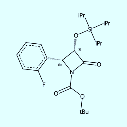 CC(C)[Si](O[C@@H]1C(=O)N(C(=O)OC(C)(C)C)[C@@H]1c1ccccc1F)(C(C)C)C(C)C